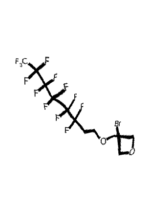 FC(F)(F)C(F)(F)C(F)(F)C(F)(F)C(F)(F)C(F)(F)CCOC1(Br)COC1